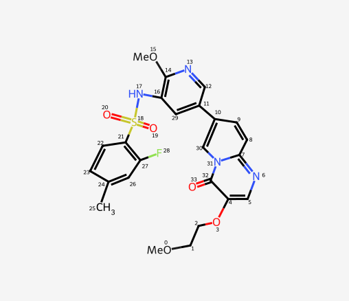 COCCOc1cnc2ccc(-c3cnc(OC)c(NS(=O)(=O)c4ccc(C)cc4F)c3)cn2c1=O